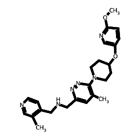 COc1ccc(OC2CCN(c3nnc(CNCc4ccncc4C)cc3C)CC2)cn1